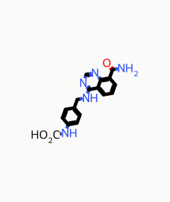 NC(=O)c1cccc2c(NCc3ccc(NC(=O)O)cc3)ncnc12